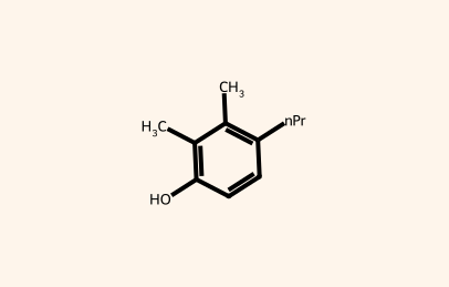 CCCc1ccc(O)c(C)c1C